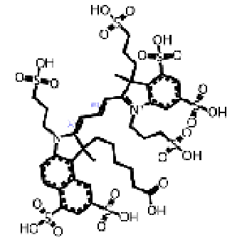 CC1(CCCS(=O)(=O)O)C(/C=C/C=C2/N(CCCS(=O)(=O)O)c3ccc4c(S(=O)(=O)O)cc(S(=O)(=O)O)cc4c3C2(C)CCCCCC(=O)O)=[N+](CCCS(=O)(=O)O)c2cc(S(=O)(=O)O)cc(S(=O)(=O)O)c21